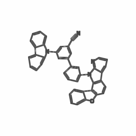 N#Cc1cc(-c2cccc(-n3c4ncccc4c4ccc5oc6ccccc6c5c43)c2)cc(-n2c3ccccc3c3ccccc32)c1